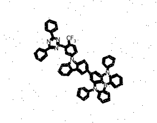 FC(F)(F)c1ccc(-n2c3ccccc3c3cc(-c4cc5c6c(c4)N(c4ccccc4)c4ccccc4B6c4ccccc4N5c4ccccc4)ccc32)cc1-c1nc(-c2ccccc2)nc(-c2ccccc2)n1